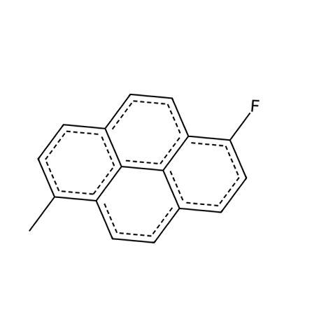 Cc1ccc2ccc3c(F)ccc4ccc1c2c43